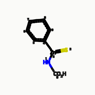 O=C(O)[NH][Zn](=[S])[c]1ccccc1